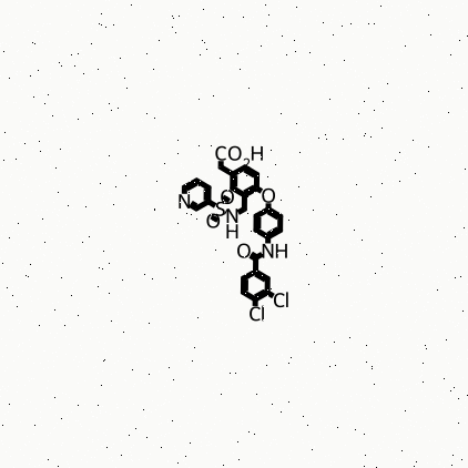 O=C(O)Cc1ccc(Oc2ccc(NC(=O)c3ccc(Cl)c(Cl)c3)cc2)c(CNS(=O)(=O)c2cccnc2)c1